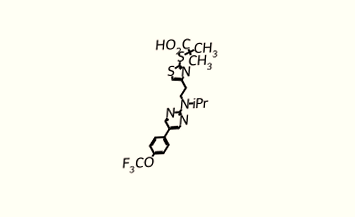 CC(C)N(CCc1csc(SC(C)(C)C(=O)O)n1)c1ncc(-c2ccc(OC(F)(F)F)cc2)cn1